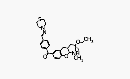 CCOC(=O)CC1Cc2cc(C(=O)c3ccc(C=NN4CCSCC4)cc3)ccc2OC1NC